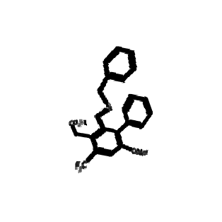 COc1cc(C(F)(F)F)c(CC(=O)O)c(CSCc2ccccc2)c1-c1ccccc1